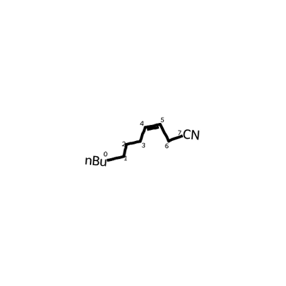 CCCCCCC/C=C\CC#N